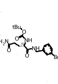 CC(C)(C)OC(=O)N[C@@H](CCC(N)=O)C(=O)NCc1cccc(Br)c1